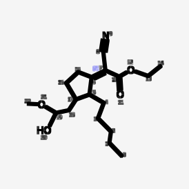 CCCCCC1/C(=C(/C#N)C(=O)OCC)CCC1CC(O)OC